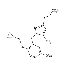 COc1ccc(OCC2CC2)c(Cn2nc(CCC(=O)O)cc2C)c1